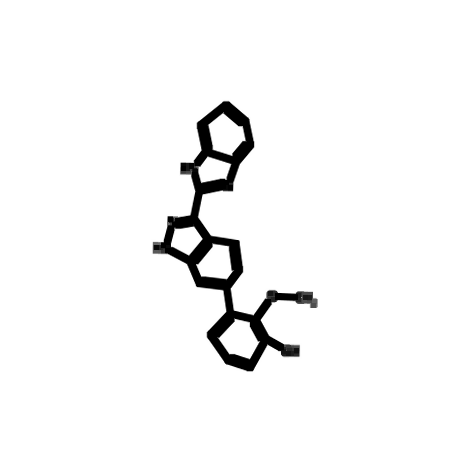 COc1c(O)cccc1-c1ccc2c(-c3nc4ccccc4[nH]3)n[nH]c2c1